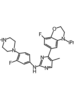 Cc1cnc(Nc2ccc(N3CCNCC3)c(F)c2)nc1-c1cc(F)c2c(c1)N(C(C)C)CCO2